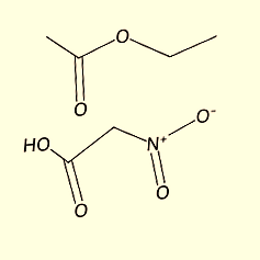 CCOC(C)=O.O=C(O)C[N+](=O)[O-]